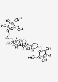 C[C@@H](CC[C@@]1(O)O[C@H]2C[C@H]3[C@@H]4CC[C@@H]5C[C@@H](O[C@@H]6O[C@H](CO)[C@@H](O)[C@H](O)[C@H]6O)CC[C@]5(C)[C@H]4CC[C@]3(C)[C@H]2[C@@H]1C)CO[C@@H]1O[C@H](CO)[C@@H](O)[C@H](O)[C@H]1O